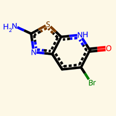 Nc1nc2cc(Br)c(=O)[nH]c2s1